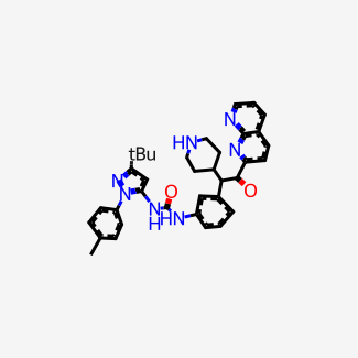 Cc1ccc(-n2nc(C(C)(C)C)cc2NC(=O)Nc2cccc(C(C(=O)c3ccc4cccnc4n3)C3CCNCC3)c2)cc1